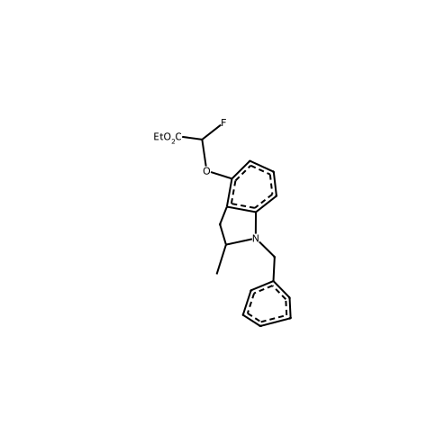 CCOC(=O)C(F)Oc1cccc2c1CC(C)N2Cc1ccccc1